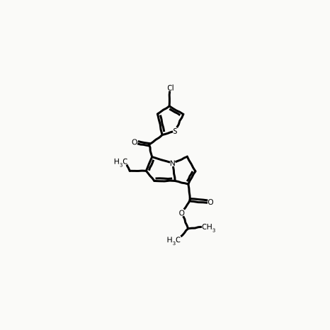 CCc1cc2n(c1C(=O)c1cc(Cl)cs1)CC=C2C(=O)OC(C)C